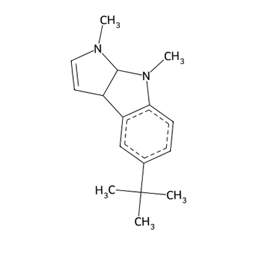 CN1C=CC2c3cc(C(C)(C)C)ccc3N(C)C21